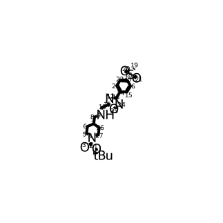 CC(C)(C)OC(=O)N1CCC(CNCc2nc(-c3ccc(S(C)(=O)=O)cc3)no2)CC1